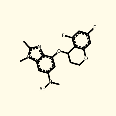 CC(=O)N(C)c1cc(OC2CCOc3cc(F)cc(F)c32)c2nc(C)n(C)c2c1